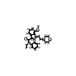 CCN(C(=O)c1nn(CCN2CCOCC2)c2c(OC)cccc12)c1ccccc1